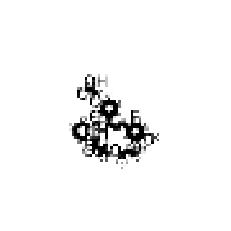 C=CC(=O)OCC(C)(C)C(=O)C(=O)N1CCCC[C@H]1C(=O)OC(CCc1cc(OC)c(OC)cc1F)c1cccc(OCC(=O)O)c1